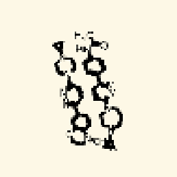 CC(=O)Nc1ccc(-c2ccc(N3CCCN(C4CC4)CC3)nn2)cc1.CN1CCOc2cc(-c3ccc(N4CCN(C5CC5)CC4)nn3)ccc21